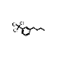 CCC[CH]c1cccc(C(Cl)(Cl)Cl)c1